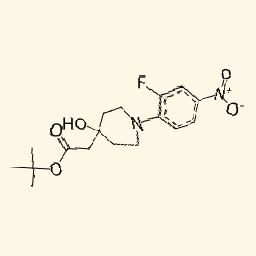 CC(C)(C)OC(=O)CC1(O)CCN(c2ccc([N+](=O)[O-])cc2F)CC1